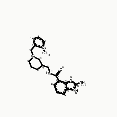 Cn1ccnc1CN1CCCC(CNC(=O)c2cccc3[nH]c(N)nc23)C1